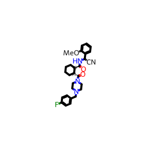 COc1ccccc1C(C#N)NC(=O)[C@@H]1CCCC[C@H]1C(=O)N1CCN(Cc2ccc(F)cc2)CC1